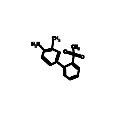 Cc1cc(-c2ccccc2S(C)(=O)=O)ccc1N